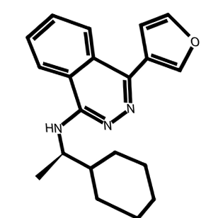 C[C@@H](Nc1nnc(-c2ccoc2)c2ccccc12)C1CCCCC1